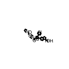 O=C(CN1CCN(C(=O)c2cc(-c3ccncc3)c(-c3ccc4c(c3)CCC4=NO)o2)CC1)N1CCCC1